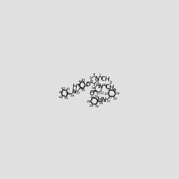 CCN1CCC(=O)CC1.CCN1CCC(=O)CC1.c1ccc(CNCc2ccccc2)cc1.c1ccc(CNCc2ccccc2)cc1